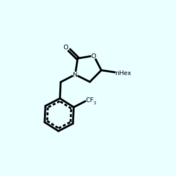 CCCCCCC1CN(Cc2ccccc2C(F)(F)F)C(=O)O1